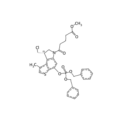 COC(=O)CCCC(=O)N1C[C@@H](CCl)c2c1cc(OP(=O)(OCc1ccccc1)OCc1ccccc1)c1scc(C)c21